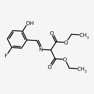 CCOC(=O)C(N=Cc1cc(F)ccc1O)C(=O)OCC